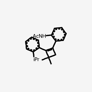 CC(=O)Nc1ccccc1C1=C(c2ccccc2C(C)C)C(C)(C)C1